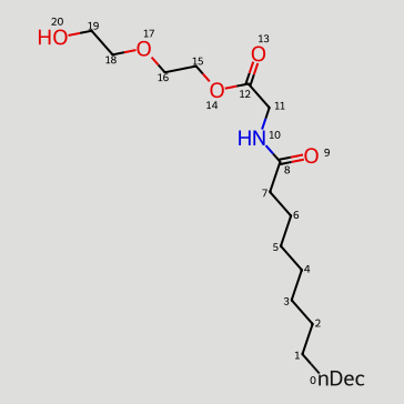 CCCCCCCCCCCCCCCCCC(=O)NCC(=O)OCCOCCO